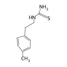 Cc1ccc(CCNC(N)=S)cc1